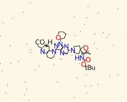 C[C@@H]1OCC2(CCN(c3cnc4c(N5CCCc6nc(CC(=O)O)ccc65)nn(C5CCCCO5)c4n3)CC2)[C@@H]1NC(=O)OC(C)(C)C